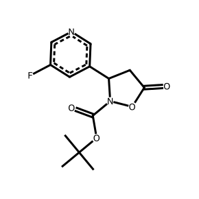 CC(C)(C)OC(=O)N1OC(=O)CC1c1cncc(F)c1